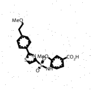 COCCc1ccc(-c2nc(S(=O)(=O)Nc3ccc(C(=O)O)cc3OC)cs2)cc1